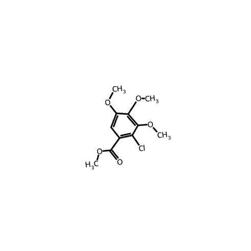 COC(=O)c1cc(OC)c(OC)c(OC)c1Cl